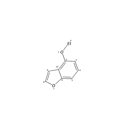 CCOc1cccc2o[c]cc12